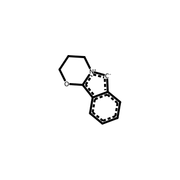 c1ccc2c3[n+]([cH-]c2c1)CCCO3